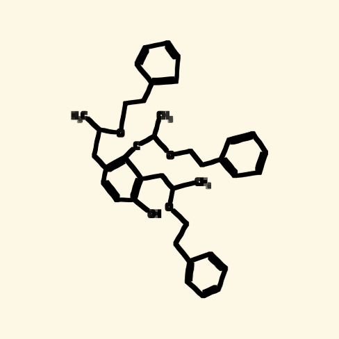 CC(Cc1ccc(O)c(CC(C)OCCc2ccccc2)c1CC(C)OCCc1ccccc1)OCCc1ccccc1